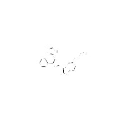 Cc1nc2ccc(CCCN)cn2c1-c1nc(-c2ccccc2)c(-c2nnc[nH]2)s1